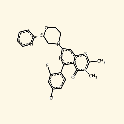 Cc1nc2cc(N3CCO[C@@H](c4ccccn4)C3)nc(-c3ccc(Cl)cc3F)c2c(=O)n1C